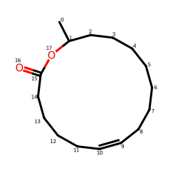 CC1CCCCCCCC=CCCCCC(=O)O1